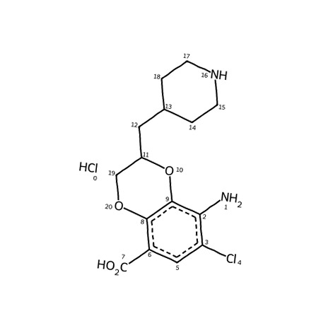 Cl.Nc1c(Cl)cc(C(=O)O)c2c1OC(CC1CCNCC1)CO2